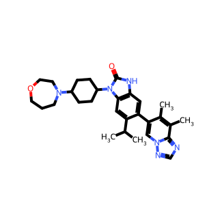 Cc1c(-c2cc3[nH]c(=O)n(C4CCC(N5CCCOCC5)CC4)c3cc2C(C)C)cn2ncnc2c1C